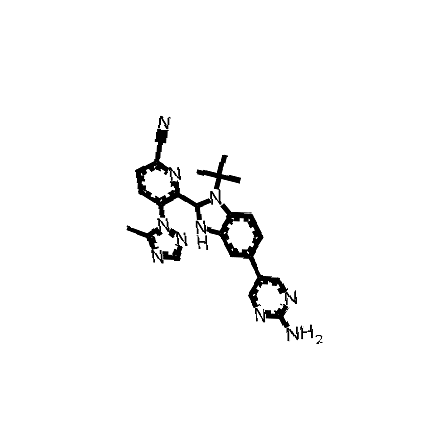 Cc1ncnn1-c1ccc(C#N)nc1C1Nc2cc(-c3cnc(N)nc3)ccc2N1C(C)(C)C